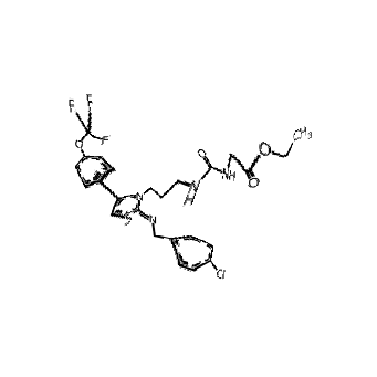 CCOC(=O)CNC(=O)NCCCn1c(-c2ccc(OC(F)(F)F)cc2)cs/c1=N\Cc1ccc(Cl)cc1